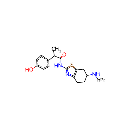 CCCNC1CCc2nc(NC(=O)C(C)c3ccc(O)cc3)sc2C1